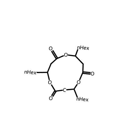 CCCCCCC1CC(=O)OC(CCCCCC)CC(=O)OC(CCCCCC)CC(=O)O1